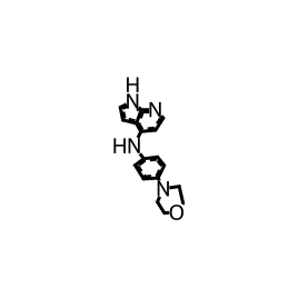 c1cc(Nc2ccc(N3CCOCC3)cc2)c2cc[nH]c2n1